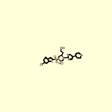 Cl.O=S(=O)(c1cc2ccc(Cl)cc2s1)N1CCN(c2ncc(-c3ccncc3)cn2)C(CCO)C1